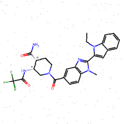 CCn1c(-c2nc3cc(C(=O)N4CC[C@@H](C(N)=O)[C@@H](NC(=O)C(F)(F)F)C4)ccc3n2C)cc2ccccc21